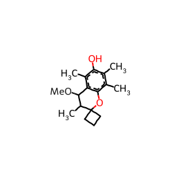 COC1c2c(C)c(O)c(C)c(C)c2OC2(CCC2)C1C